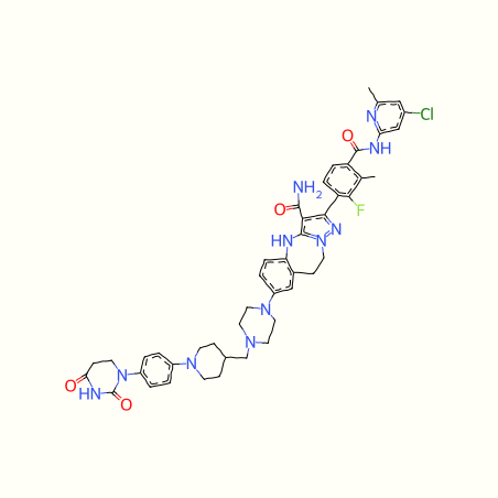 Cc1cc(Cl)cc(NC(=O)c2ccc(-c3nn4c(c3C(N)=O)Nc3ccc(N5CCN(CC6CCN(c7ccc(N8CCC(=O)NC8=O)cc7)CC6)CC5)cc3CC4)c(F)c2C)n1